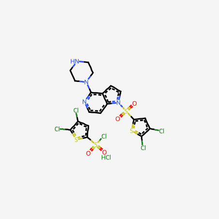 Cl.O=S(=O)(Cl)c1cc(Cl)c(Cl)s1.O=S(=O)(c1cc(Cl)c(Cl)s1)n1ccc2c(N3CCNCC3)nccc21